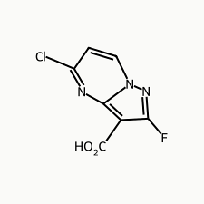 O=C(O)c1c(F)nn2ccc(Cl)nc12